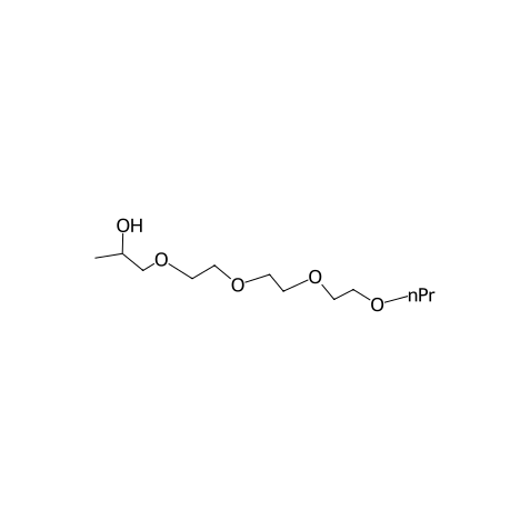 CCCOCCOCCOCCOCC(C)O